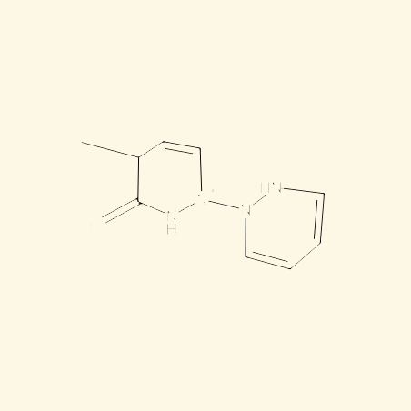 CC1C=CN(N2C=CC=CN2)NC1=O